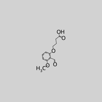 COc1cccc(OCCCC(=O)O)c1C=O